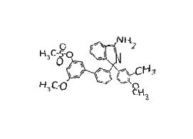 COc1cc(OS(C)(=O)=O)cc(-c2cccc(C3(c4ccc(OC)c(C)c4)N=C(N)c4ccccc43)c2)c1